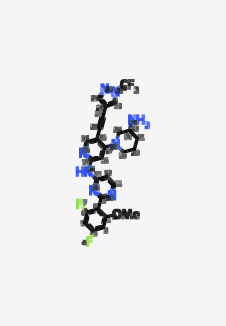 COc1cc(F)cc(F)c1-c1nccc(Nc2cc(N3CCC[C@H](N)C3)c(C#Cc3cnn(C(F)(F)F)c3)cn2)n1